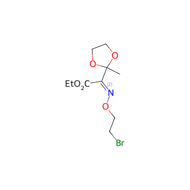 CCOC(=O)/C(=N\OCCBr)C1(C)OCCO1